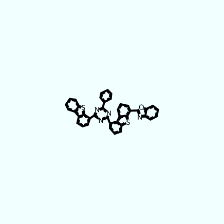 c1ccc(-c2nc(-c3cccc4c3sc3ccccc34)nc(-c3cccc4sc5c(-c6nc7ccccc7o6)cccc5c34)n2)cc1